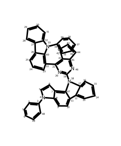 c1ccc(-n2ccc3c2ccc2c4ccccc4n(-c4nc(-c5cccc6c7ccccc7n(-c7ccccc7)c56)c5occc5n4)c23)cc1